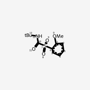 COc1ccccc1S(=O)(=O)C(=O)NC(C)(C)C